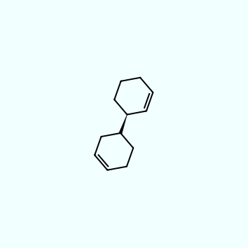 C1=C[C@@H](C2CC=CCC2)CCC1